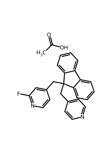 CC(=O)O.Fc1cc(CC2(Cc3ccncc3)c3ccccc3-c3ccccc32)ccn1